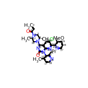 C=CC(=O)N1C[C@H](C)N(c2nc(=O)n(-c3c(C)ccnc3C(C)C)c3nc(-c4ncccc4OC)c(Cl)cc23)C[C@H]1C